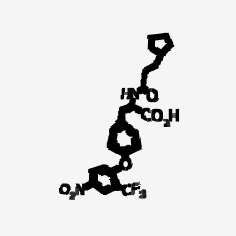 O=C(CCC1CCCC1)N/C(=C/c1ccc(Oc2ccc([N+](=O)[O-])cc2C(F)(F)F)cc1)C(=O)O